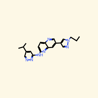 CCCn1cc(-c2cnc3ccc(Nc4cc(C(C)C)cnn4)nc3c2)cn1